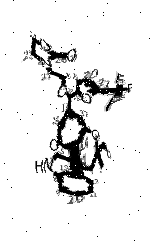 CC1(C)CC2(C(=O)Nc3ccccc32)c2ccc(C(OCCN3CCOC3=O)c3ccc(C(F)(F)F)o3)cc2O1